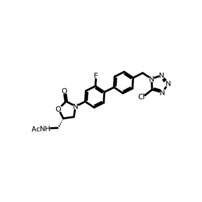 CC(=O)NC[C@H]1CN(c2ccc(-c3ccc(Cn4nnnc4Cl)cc3)c(F)c2)C(=O)O1